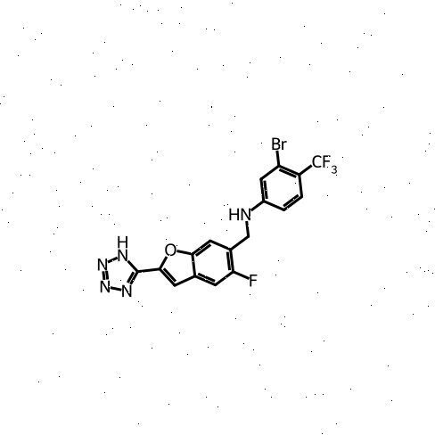 Fc1cc2cc(-c3nnn[nH]3)oc2cc1CNc1ccc(C(F)(F)F)c(Br)c1